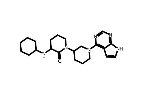 O=C1C(NC2CCCCC2)CCCN1C1CCCN(c2ncnc3[nH]ccc23)C1